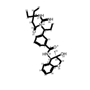 CCC(c1cccc(C(=O)N[C@@H]2c3ccccc3OC[C@]2(C)O)c1)N1C(=N)NC(CC)(CC)CC1=O